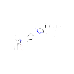 CCOC(=O)c1cn(Cc2ccc(CN3C(=O)[C@@H]4C5C3[C@@H]54)cc2)nc1C(F)(F)F